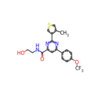 Cc1cscc1-c1nc(C(=O)NCCO)cc(-c2ccc(OC(F)(F)F)cc2)n1